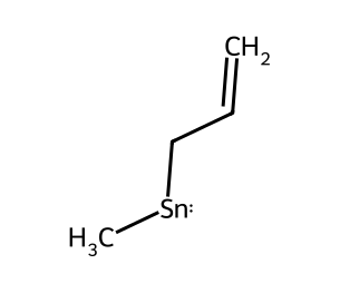 C=C[CH2][Sn][CH3]